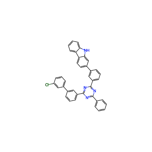 Clc1cccc(-c2cccc(-c3nc(-c4ccccc4)nc(-c4cccc(-c5ccc6c(c5)[nH]c5ccccc56)c4)n3)c2)c1